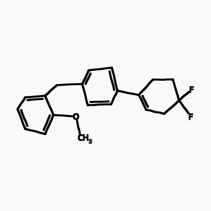 COc1ccccc1Cc1ccc(C2=CCC(F)(F)CC2)cc1